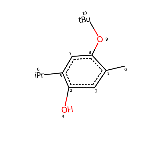 Cc1cc(O)c(C(C)C)cc1OC(C)(C)C